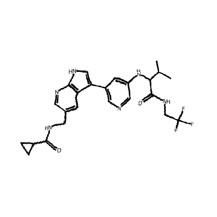 CC(C)C(Nc1cncc(-c2c[nH]c3ncc(CNC(=O)C4CC4)cc23)c1)C(=O)NCC(F)(F)F